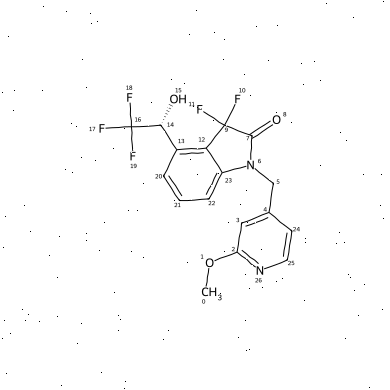 COc1cc(CN2C(=O)C(F)(F)c3c([C@@H](O)C(F)(F)F)cccc32)ccn1